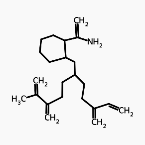 C=CC(=C)CCC(CCC(=C)C(=C)C)CC1CCCCC1C(=C)N